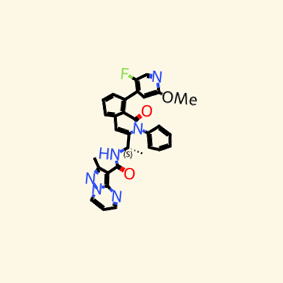 COc1cc(-c2cccc3cc([C@H](C)NC(=O)c4c(C)nn5cccnc45)n(-c4ccccc4)c(=O)c23)c(F)cn1